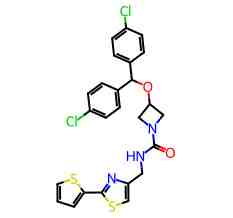 O=C(NCc1csc(-c2cccs2)n1)N1CC(OC(c2ccc(Cl)cc2)c2ccc(Cl)cc2)C1